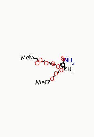 CNCCCC(=O)OCCOCCOCCOc1cc(C(N)=O)cc(C)c1OCCOCCOCCOC